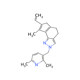 C=CC1=C(C)C2=C(CCc3cn(Cc4ccc(C)nc4C)nc32)C1